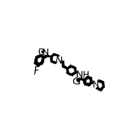 O=C(NC1CCC(CCN2CCC(c3noc4ccc(F)cc34)CC2)CC1)c1ccc(N2CCCCC2)cc1